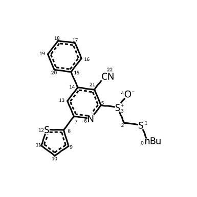 CCCCSC[S+]([O-])c1nc(-c2cccs2)cc(-c2ccccc2)c1C#N